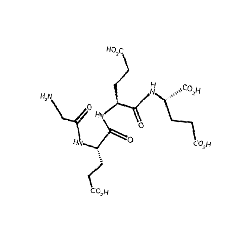 NCC(=O)N[C@@H](CCC(=O)O)C(=O)N[C@@H](CCC(=O)O)C(=O)N[C@@H](CCC(=O)O)C(=O)O